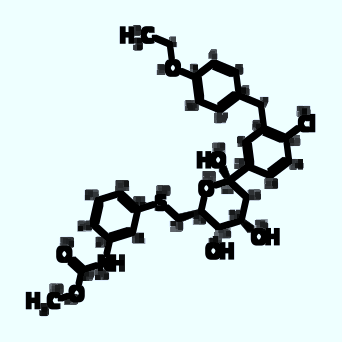 CCOc1ccc(Cc2cc([C@]3(O)C[C@@H](O)[C@H](O)[C@@H](CSc4cccc(NC(=O)OC)c4)O3)ccc2Cl)cc1